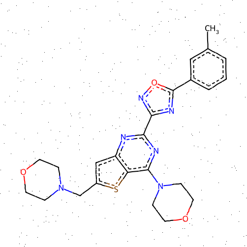 Cc1cccc(-c2nc(-c3nc(N4CCOCC4)c4sc(CN5CCOCC5)cc4n3)no2)c1